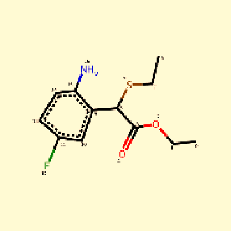 CCOC(=O)C(SCC)c1cc(F)ccc1N